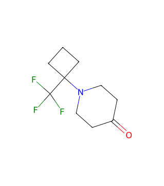 O=C1CCN(C2(C(F)(F)F)CCC2)CC1